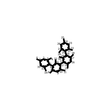 Cc1cc(C)c(-c2c(C)cc(C)c(-c3c(C)cc(C)c(-c4c(C)cc(C)cc4C)c3C)c2C)c(C)c1